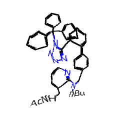 CCCCN(Cc1ccc(-c2ccccc2-c2nnnn2C(c2ccccc2)(c2ccccc2)c2ccccc2)cc1)c1ncccc1CNC(C)=O